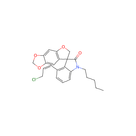 CCCCCN1C(=O)C2(COc3cc4c(cc32)OCO4)c2c(/C=C\CCl)cccc21